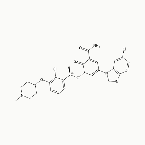 C[C@@H](OC1C=C(n2cnc3ccc(Cl)cc32)C=C(C(N)=O)C1=S)c1cccc(OC2CCN(C)CC2)c1Cl